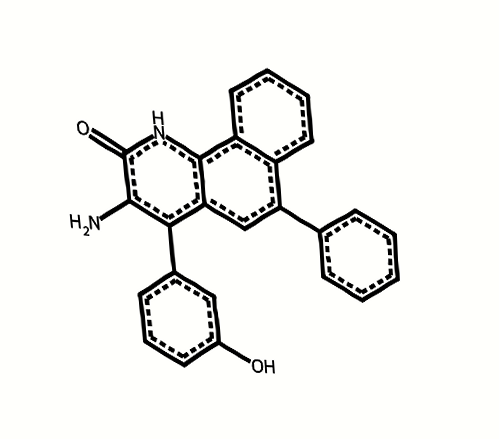 Nc1c(-c2cccc(O)c2)c2cc(-c3ccccc3)c3ccccc3c2[nH]c1=O